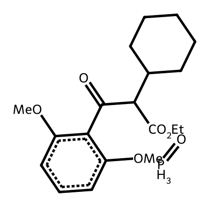 CCOC(=O)C(C(=O)c1c(OC)cccc1OC)C1CCCCC1.O=[PH3]